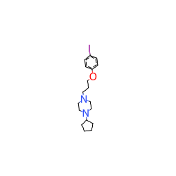 Ic1ccc(OCCCN2CCN(C3CCCC3)CC2)cc1